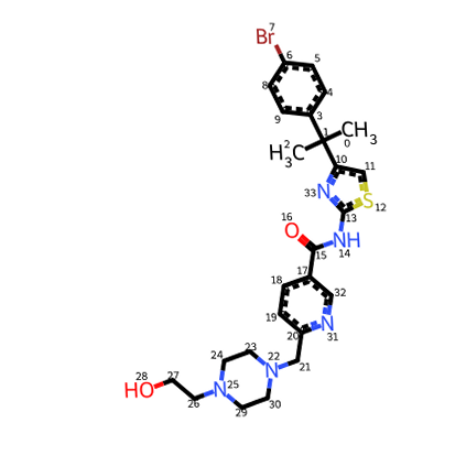 CC(C)(c1ccc(Br)cc1)c1csc(NC(=O)c2ccc(CN3CCN(CCO)CC3)nc2)n1